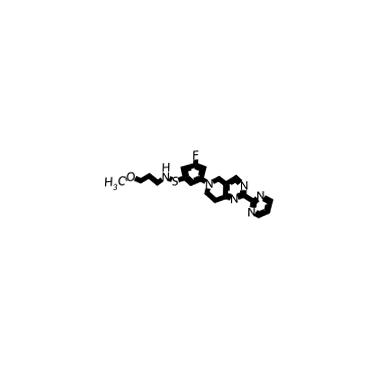 COCCCNSc1cc(F)cc(N2CCc3nc(-c4ncccn4)ncc3C2)c1